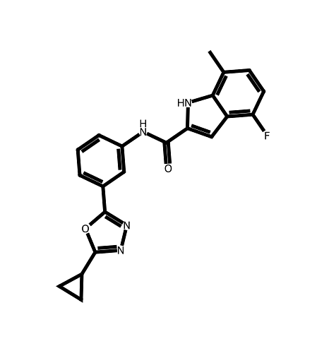 Cc1ccc(F)c2cc(C(=O)Nc3cccc(-c4nnc(C5CC5)o4)c3)[nH]c12